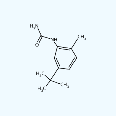 Cc1ccc(C(C)(C)C)cc1NC(N)=O